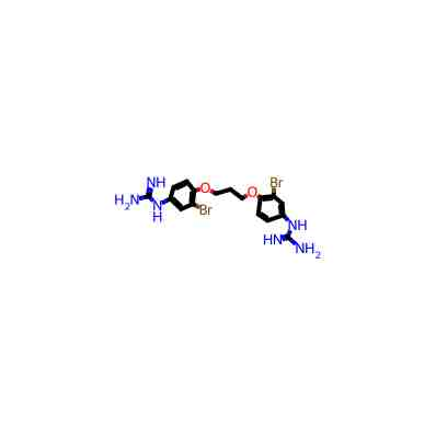 N=C(N)Nc1ccc(OCCCOc2ccc(NC(=N)N)cc2Br)c(Br)c1